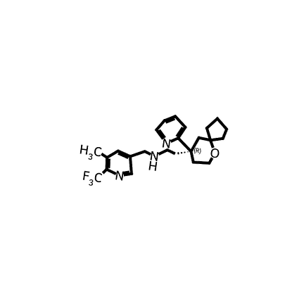 Cc1cc(CNCC[C@@]2(c3ccccn3)CCOC3(CCCC3)C2)cnc1C(F)(F)F